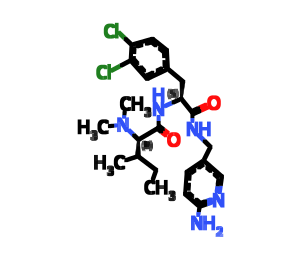 CCC(C)[C@H](C(=O)N[C@@H](Cc1ccc(Cl)c(Cl)c1)C(=O)NCc1ccc(N)nc1)N(C)C